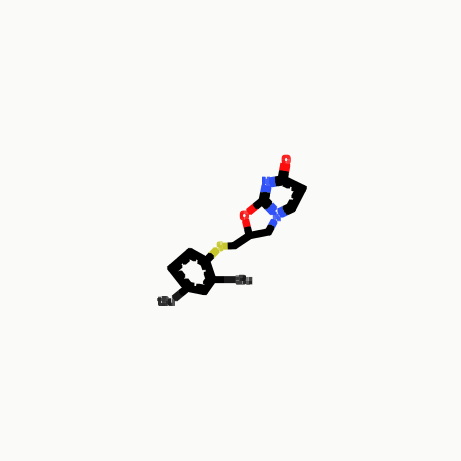 CC(C)(C)c1ccc(SCC2Cn3ccc(=O)nc3O2)c(C(C)(C)C)c1